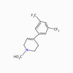 O=C(O)N1CC=C(c2cc(C(F)(F)F)cc(C(F)(F)F)c2)CC1